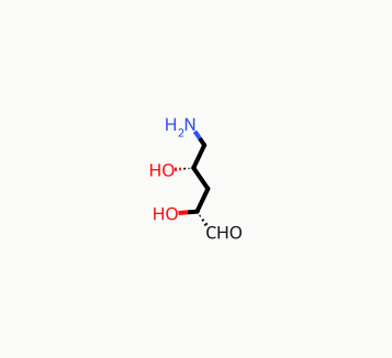 NC[C@@H](O)C[C@@H](O)C=O